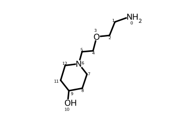 NCCOCCN1CCC(O)CC1